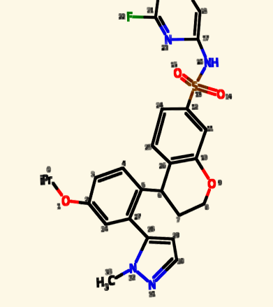 CC(C)Oc1ccc(C2CCOc3cc(S(=O)(=O)Nc4cccc(F)n4)ccc32)c(-c2ccnn2C)c1